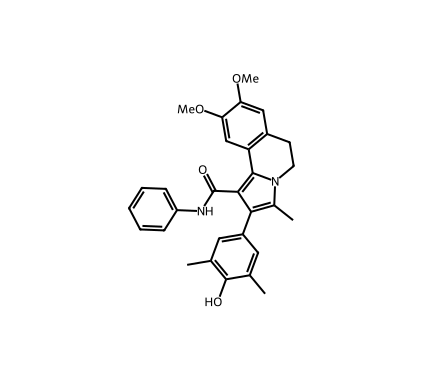 COc1cc2c(cc1OC)-c1c(C(=O)Nc3ccccc3)c(-c3cc(C)c(O)c(C)c3)c(C)n1CC2